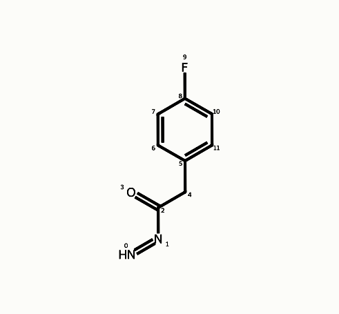 N=NC(=O)Cc1ccc(F)cc1